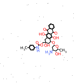 Cc1ccc(NC(=O)OC[C@]2(O)Cc3c(O)c4c(c(O)c3[C@@H](O[C@H]3C[C@H](N)[C@@H](O)[C@H](C)O3)C2)C(=O)c2ccccc2C4=O)cc1